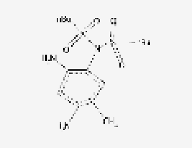 CCCCS(=O)(=O)N(c1cc(C)c(N)cc1N)S(=O)(=O)CCCC